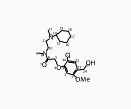 COc1cc(OCC(=O)N(C)CCN(C)C2CC[CH]CC2)c(Cl)cc1CO